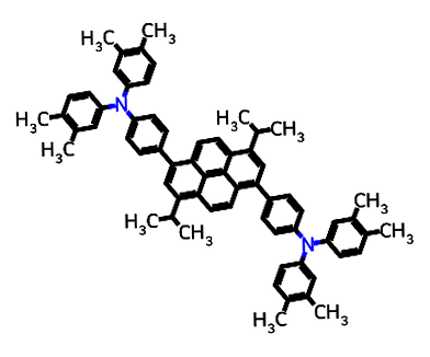 Cc1ccc(N(c2ccc(-c3cc(C(C)C)c4ccc5c(-c6ccc(N(c7ccc(C)c(C)c7)c7ccc(C)c(C)c7)cc6)cc(C(C)C)c6ccc3c4c56)cc2)c2ccc(C)c(C)c2)cc1C